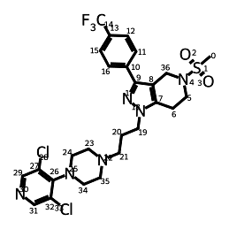 CS(=O)(=O)N1CCc2c(c(-c3ccc(C(F)(F)F)cc3)nn2CCCN2CCN(c3c(Cl)cncc3Cl)CC2)C1